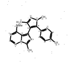 CNc1ncnn2c(C)nc(-c3c(C)nn(C)c3-c3ccc(C(F)(F)F)cn3)c12